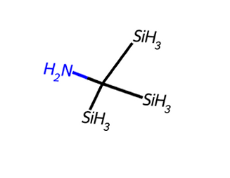 NC([SiH3])([SiH3])[SiH3]